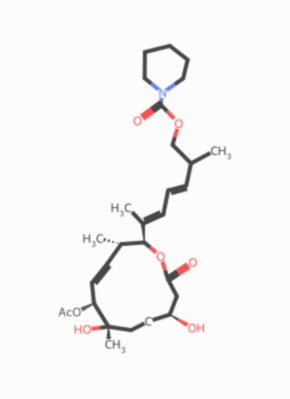 CC(=O)O[C@H]1/C=C/[C@H](C)[C@@H](/C(C)=C/C=C/C(C)COC(=O)N2CCCCC2)OC(=O)C[C@@H](O)CC[C@]1(C)O